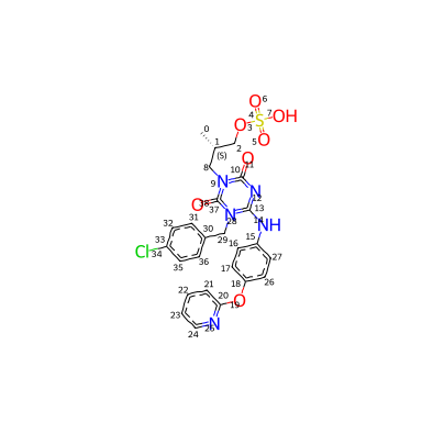 C[C@H](COS(=O)(=O)O)Cn1c(=O)nc(Nc2ccc(Oc3ccccn3)cc2)n(Cc2ccc(Cl)cc2)c1=O